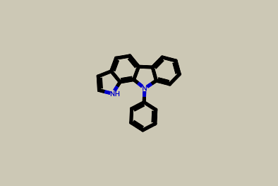 c1ccc(-n2c3ccccc3c3ccc4cc[nH]c4c32)cc1